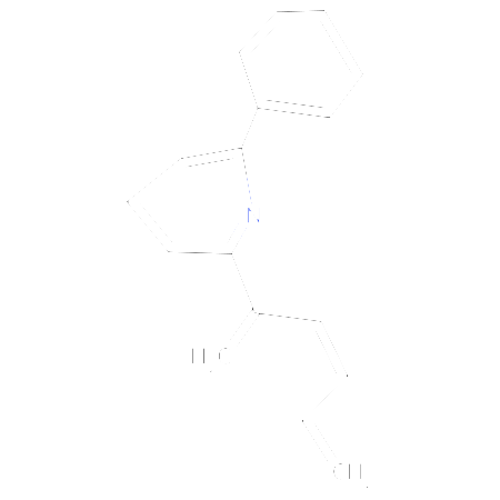 C=C/C=C\C(=C)c1cccc(-c2ccccc2)n1